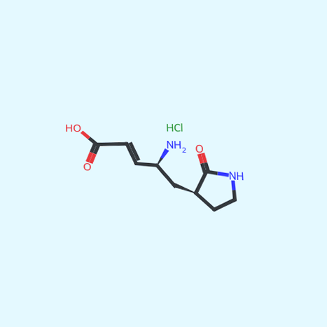 Cl.N[C@H](/C=C/C(=O)O)C[C@@H]1CCNC1=O